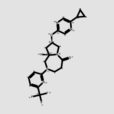 O=C1CCN(c2cccc(C(F)(F)F)n2)C[C@@H]2C[C@@H](Oc3cnc(C4CC4)cn3)CN12